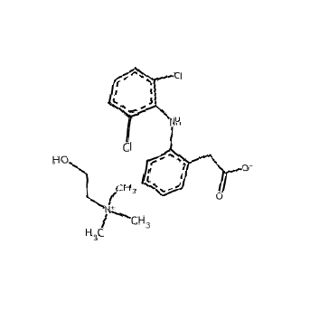 C[N+](C)(C)CCO.O=C([O-])Cc1ccccc1Nc1c(Cl)cccc1Cl